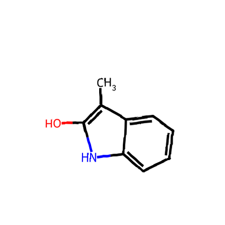 Cc1c(O)[nH]c2ccccc12